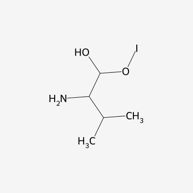 CC(C)C(N)C(O)OI